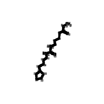 COC(=O)CCCCNC(=O)NCCCCC1CCSS1